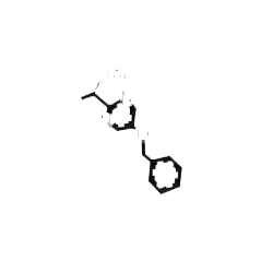 CC(=O)O[C@H](C)c1ncc(OCc2ccccc2)cn1